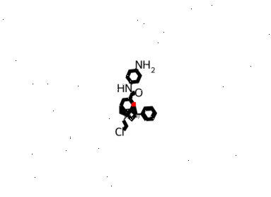 NC1CCC(NC(=O)C23CC4CC5(C2)[C@](CCCl)(C4)C[C@@]5(c2ccccc2)C3)CC1